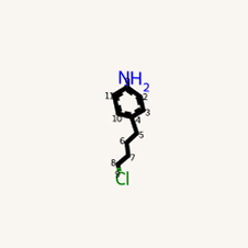 Nc1ccc(CCCCCl)cc1